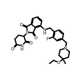 CCOC1(C)CCN(Cc2ccc(CNc3cccc4c3C(=O)N(C3CCC(=O)NC3=O)C4=O)c(F)c2)CC1